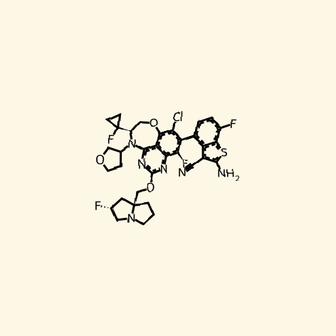 N#Cc1c(N)sc2c(F)ccc(-c3c(Cl)c4c5c(nc(OC[C@@]67CCCN6C[C@H](F)C7)nc5c3F)N(C3CCOC3)[C@@H](C3(F)CC3)CO4)c12